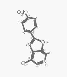 O=[N+]([O-])c1ccc(-c2nc3c(Cl)cncc3o2)cc1